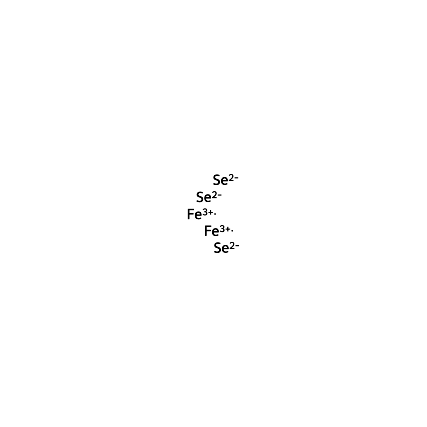 [Fe+3].[Fe+3].[Se-2].[Se-2].[Se-2]